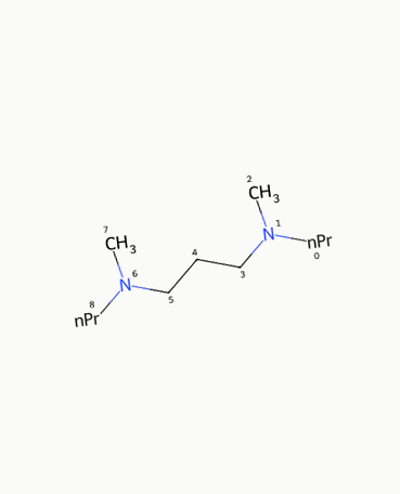 CCCN(C)CCCN(C)CCC